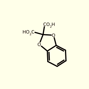 O=C(O)C1(C(=O)O)Oc2ccccc2O1